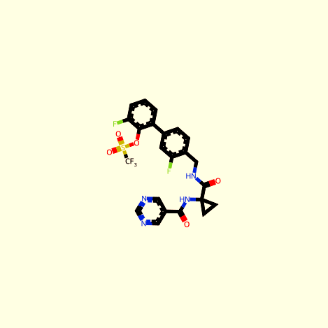 O=C(NC1(C(=O)NCc2ccc(-c3cccc(F)c3OS(=O)(=O)C(F)(F)F)cc2F)CC1)c1cncnc1